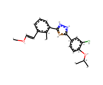 CO/C=C/c1cccc(-c2nnc(-c3ccc(OC(C)C)c(Cl)c3)s2)c1C